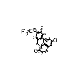 O=C1CSc2cc(Cl)cnc2N1Cc1ccc(F)c(OC(F)(F)F)c1